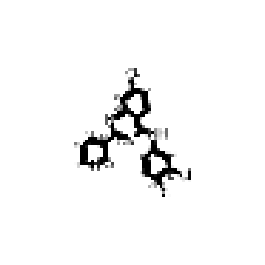 Clc1ccc2c(Nc3ccc(Cl)c(Cl)c3)nc(-c3cccnc3)nc2c1